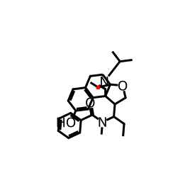 CCC(C1COC2(CC)C3Cc4ccc(O)cc4C12CCN3C(C)C)N(C)C(=O)c1ccccc1